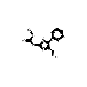 CC(C)(C)OC(=O)Nc1nc(CC(=O)O)c(-c2ccccc2)s1